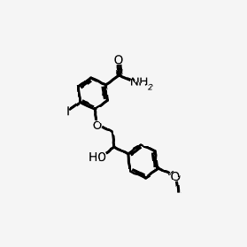 COc1ccc(C(O)COc2cc(C(N)=O)ccc2I)cc1